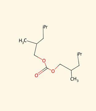 CC(C)CC(C)COC(=O)OCC(C)CC(C)C